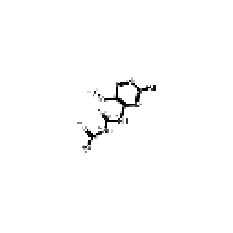 COc1cnc(Cl)nc1NC(=S)NC(=O)O